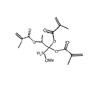 C=C(C)C(=O)OC(C)C(OC(=O)C(=C)C)(OC(=O)C(=C)C)[SiH2]OC